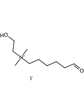 C[N+](C)(CCO)CCCCCC=O.[I-]